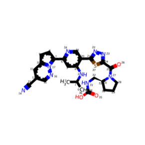 CC(C)Nc1cc(-c2ccc3cc(C#N)cnn23)ncc1-c1nnc(C(=O)N2CCC[C@H]2CNC(=O)O)s1